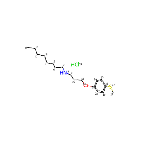 CCCCCCCCNCCCOc1ccc(SC)cc1.Cl